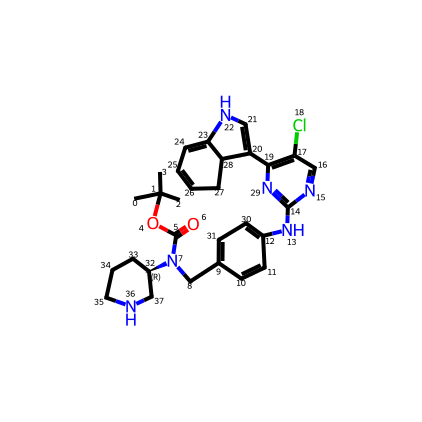 CC(C)(C)OC(=O)N(Cc1ccc(Nc2ncc(Cl)c(C3=CNC4=CC=CCC43)n2)cc1)[C@@H]1CCCNC1